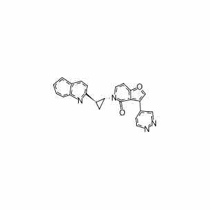 O=c1c2c(-c3ccnnc3)coc2ccn1[C@@H]1C[C@H]1c1ccc2ccccc2n1